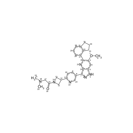 COc1cc2[nH]nc(-c3ccc(C4CN(C(=O)CN(C)C)C4)nc3)c2nc1-c1cccc2c1CCC2